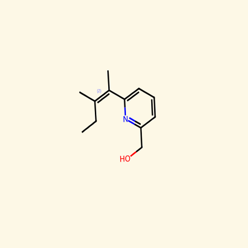 CC/C(C)=C(/C)c1cccc(CO)n1